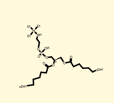 CCCCCCCCCCCCCCCC(=O)OC[C@H](COP(=O)(O)OCCN[N+](CC)(CC)CC)OC(=O)CCCCCCCCCCCCCCC